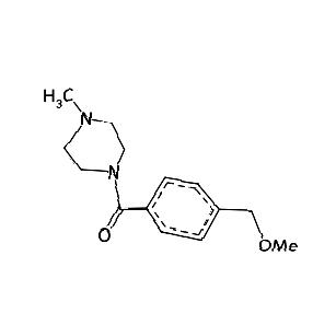 COCc1ccc(C(=O)N2CCN(C)CC2)cc1